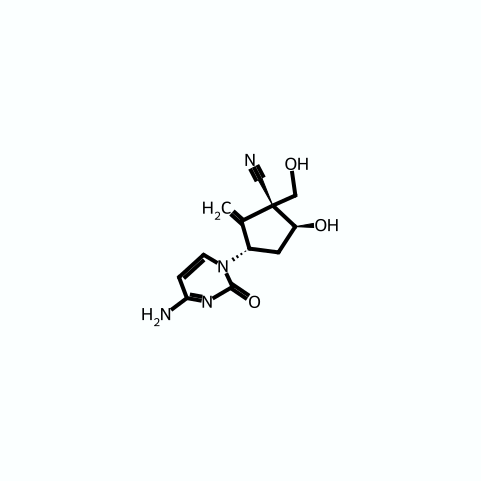 C=C1[C@@H](n2ccc(N)nc2=O)C[C@H](O)[C@@]1(C#N)CO